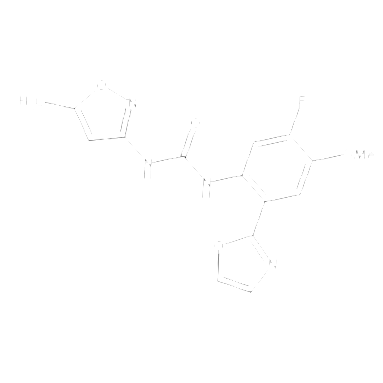 COc1cc(-c2ncco2)c(NC(=O)Nc2cc(C)on2)cc1F